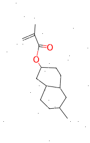 C=C(C)C(=O)OC1CCC2CC(C)CCC2C1